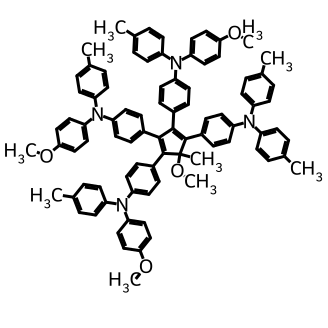 COc1ccc(N(c2ccc(C)cc2)c2ccc(C3=C(c4ccc(N(c5ccc(C)cc5)c5ccc(C)cc5)cc4)C(C)(OC)C(c4ccc(N(c5ccc(C)cc5)c5ccc(OC)cc5)cc4)=C3c3ccc(N(c4ccc(C)cc4)c4ccc(OC)cc4)cc3)cc2)cc1